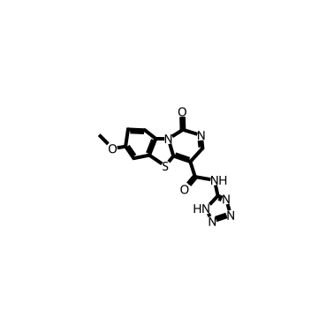 COc1ccc2c(c1)sc1c(C(=O)Nc3nnn[nH]3)cnc(=O)n12